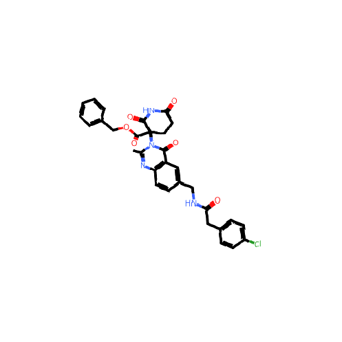 Cc1nc2ccc(CNC(=O)Cc3ccc(Cl)cc3)cc2c(=O)n1C1(C(=O)OCc2ccccc2)CCC(=O)NC1=O